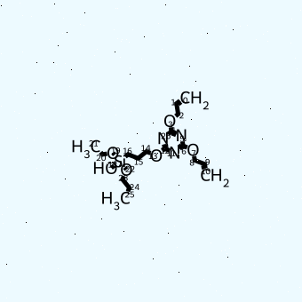 C=CCOc1nc(OCC=C)nc(OCCC[Si](O)(OCC)OCCC)n1